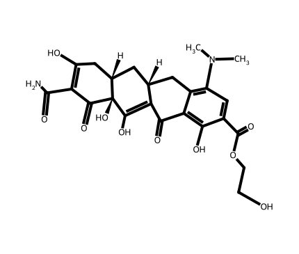 CN(C)c1cc(C(=O)OCCO)c(O)c2c1C[C@H]1C[C@H]3CC(O)=C(C(N)=O)C(=O)[C@@]3(O)C(O)=C1C2=O